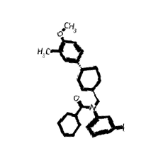 COc1ccc([C@H]2CC[C@H](CN(C(=O)C3CCCCC3)c3cccc(I)c3)CC2)cc1C